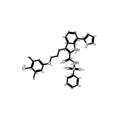 Cc1cc(OCCCc2c(C(=O)NS(=O)(=O)c3ccccc3)[nH]c3c(-c4cccs4)cccc23)cc(C)c1Cl